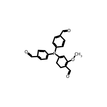 COC1=C(C=O)CCC(N(c2ccc(C=O)cc2)c2ccc(C=O)cc2)=C1